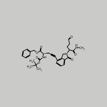 CNC(=O)C(CCC=O)N1Cc2c(C#CC[C@@H](NC(=O)OC(C)(C)C)C(=O)OCc3ccccc3)cccc2C1=O